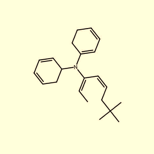 C/C=C(\C=C/CC(C)(C)C)N(C1=CC=CCC1)C1C=CC=CC1